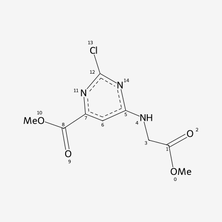 COC(=O)CNc1cc(C(=O)OC)nc(Cl)n1